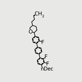 C=CCCC1CCC(c2ccc(-c3ccc(-c4ccc(CCCCCCCCCC)c(F)c4F)cc3)c(F)c2)OC1